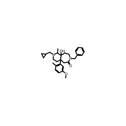 COc1ccc(C)c(C23CCN(CC4CC4)C(C)C2(O)CCN(Cc2ccccc2)C(=O)C3)c1